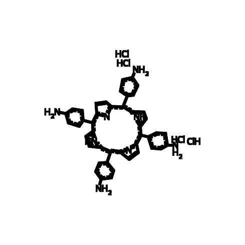 Cl.Cl.Cl.Cl.Nc1ccc(-c2c3nc(c(-c4ccc(N)cc4)c4ccc([nH]4)c(-c4ccc(N)cc4)c4nc(c(-c5ccc(N)cc5)c5ccc2[nH]5)C=C4)C=C3)cc1